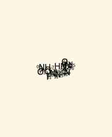 CNC(=O)c1cc(C)c(N2CCN(Cc3cnc4c(c3)[nH]c(=O)n3cccc43)CC2)c(F)c1